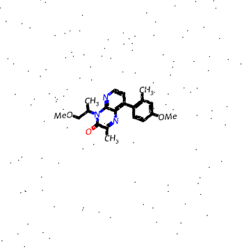 COCC(C)n1c(=O)c(C)nc2c(-c3ccc(OC)cc3C)ccnc21